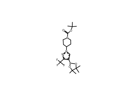 CC(C)(C)OC(=O)N1CCC(n2cc(B3OC(C)(C)C(C)(C)O3)c(C(F)(F)F)n2)CC1